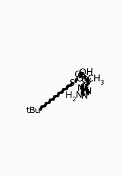 C[C@H](Cn1cnc2c(N)ncnc21)OCP(=O)(O)OCCSCCCCCCCCCCCCCCCC(C)(C)C